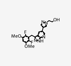 COc1cc(OC)c(F)c(Cc2n[nH]c3ncc(-c4cnn(CCO)c4)cc23)c1F